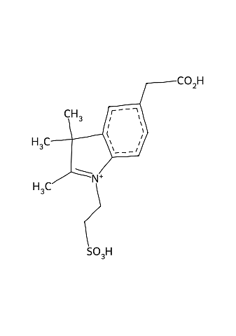 CC1=[N+](CCS(=O)(=O)O)c2ccc(CC(=O)O)cc2C1(C)C